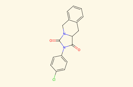 O=C1C2Cc3ccccc3CN2C(=O)N1c1ccc(Cl)cc1